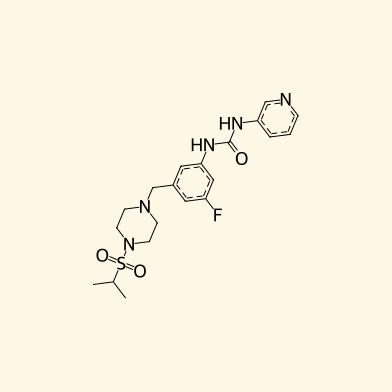 CC(C)S(=O)(=O)N1CCN(Cc2cc(F)cc(NC(=O)Nc3cccnc3)c2)CC1